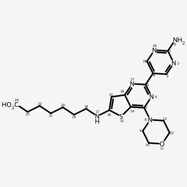 Nc1ncc(-c2nc(N3CCOCC3)c3sc(NCCCCCCC(=O)O)cc3n2)cn1